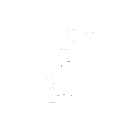 COc1cc([C@H]2CC[C@H](COc3cccc([C@H](C4CC4)C(C)C(=O)O)c3)CC2)c(F)cn1